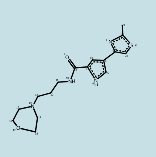 Cc1nc(-c2c[nH]c(C(=O)NCCCN3CCOCC3)c2)cs1